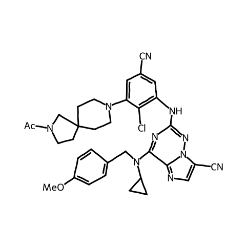 COc1ccc(CN(c2nc(Nc3cc(C#N)cc(N4CCC5(CCN(C(C)=O)C5)CC4)c3Cl)nn3c(C#N)cnc23)C2CC2)cc1